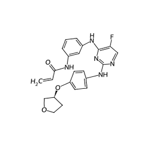 C=CC(=O)Nc1cccc(Nc2nc(Nc3ccc(O[C@H]4CCOC4)cc3)ncc2F)c1